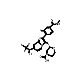 CNC(=O)c1ccc(-c2nc3cc(C(O)C(F)(F)F)ccn3c2C[C@H]2CN(C(=O)O)CCO2)c(F)c1